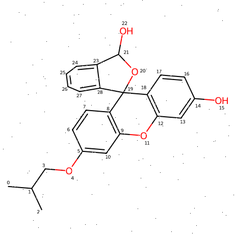 CC(C)COc1ccc2c(c1)Oc1cc(O)ccc1C21OC(O)c2ccccc21